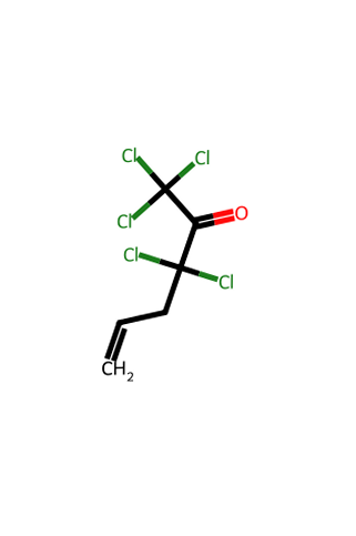 C=CCC(Cl)(Cl)C(=O)C(Cl)(Cl)Cl